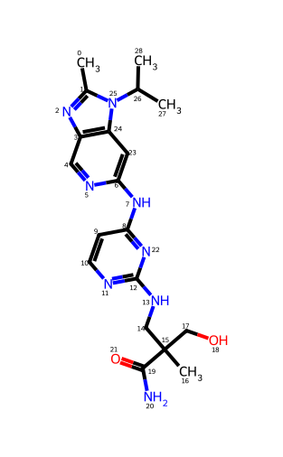 Cc1nc2cnc(Nc3ccnc(NCC(C)(CO)C(N)=O)n3)cc2n1C(C)C